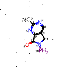 N#Cc1ncc2c(n1)C(=O)N(P)C2